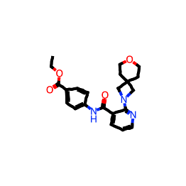 CCOC(=O)c1ccc(NC(=O)c2cccnc2N2CC3(CCOCC3)C2)cc1